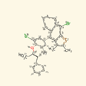 Cc1sc2c(Br)c3ccccc3c(-c3cc(Br)c(OC(Cc4ccccc4)C(=O)O)c(C(C)C)c3)c2c1C